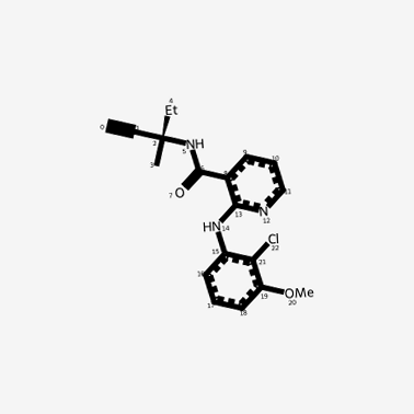 C#C[C@](C)(CC)NC(=O)c1cccnc1Nc1cccc(OC)c1Cl